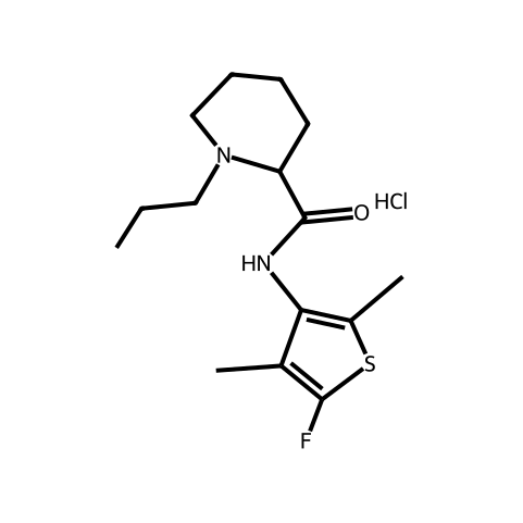 CCCN1CCCCC1C(=O)Nc1c(C)sc(F)c1C.Cl